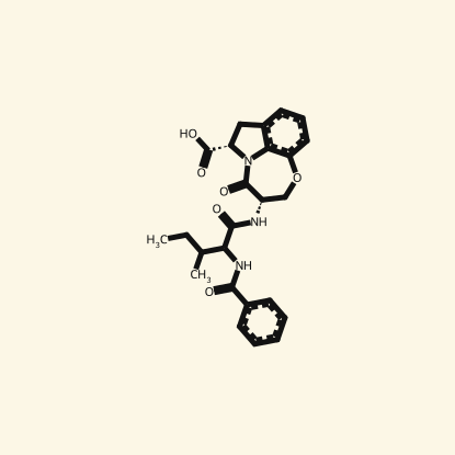 CCC(C)C(NC(=O)c1ccccc1)C(=O)N[C@H]1COc2cccc3c2N(C1=O)[C@H](C(=O)O)C3